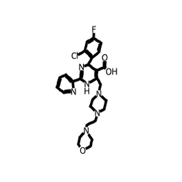 O=C(O)C1=C(CN2CCN(CCN3CCOCC3)CC2)NC(c2ccccn2)=NC1c1ccc(F)cc1Cl